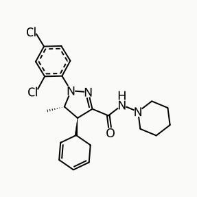 C[C@H]1[C@H](C2C=CC=CC2)C(C(=O)NN2CCCCC2)=NN1c1ccc(Cl)cc1Cl